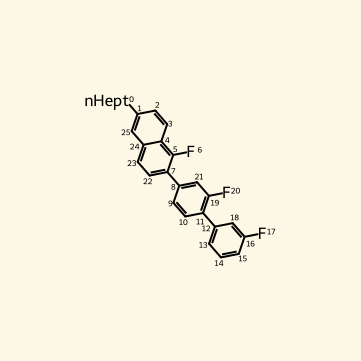 CCCCCCCc1ccc2c(F)c(-c3ccc(-c4cccc(F)c4)c(F)c3)ccc2c1